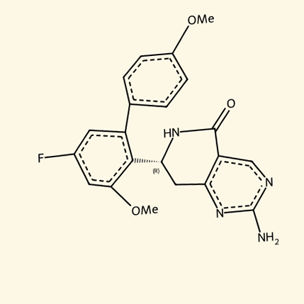 COc1ccc(-c2cc(F)cc(OC)c2[C@H]2Cc3nc(N)ncc3C(=O)N2)cc1